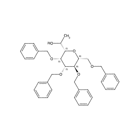 CC(O)[C@@H]1O[C@H](COCc2ccccc2)[C@@H](OCc2ccccc2)[C@H](OCc2ccccc2)[C@@H]1OCc1ccccc1